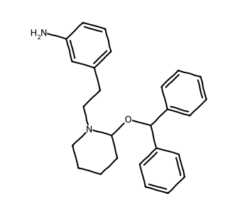 Nc1cccc(CCN2CCCCC2OC(c2ccccc2)c2ccccc2)c1